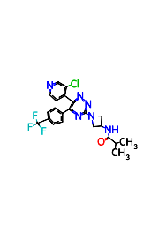 CC(C)C(=O)NC1CN(c2nnc(-c3ccncc3Cl)c(-c3ccc(C(F)(F)F)cc3)n2)C1